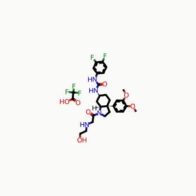 COc1ccc([C@@]23CC[C@@H](NC(=O)Nc4ccc(F)c(F)c4)C[C@@H]2N(C(=O)CNCCO)CC3)cc1OC.O=C(O)C(F)(F)F